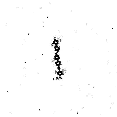 CCCOc1cc(F)c(C#Cc2ccc(-c3ccc(CCc4ccc(-c5ccc(C)cc5F)cc4)cc3F)cc2)c(CC)c1